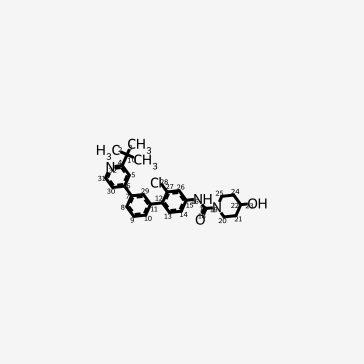 CC(C)(C)c1cc(-c2cccc(-c3ccc(NC(=O)N4CCC(O)CC4)cc3Cl)c2)ccn1